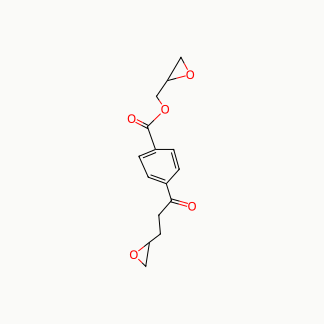 O=C(CCC1CO1)c1ccc(C(=O)OCC2CO2)cc1